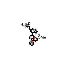 COc1ccc(CN2C3CC2CN(c2ccc(-c4cc(CCS(C)(=O)=O)cn5ncc(C#N)c45)cn2)C3)cn1